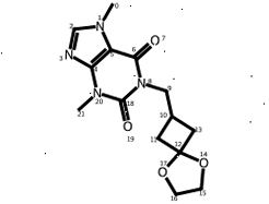 Cn1cnc2c1c(=O)n(CC1CC3(C1)OCCO3)c(=O)n2C